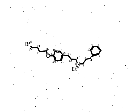 CCN(CCCc1ccccc1)CCCc1ccc(OCCCCBr)cc1